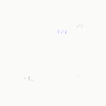 CC(C)Nc1cccc([N+](=O)[O-])c1.Cl